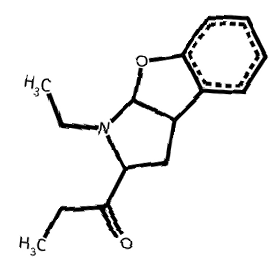 CCC(=O)C1CC2c3ccccc3OC2N1CC